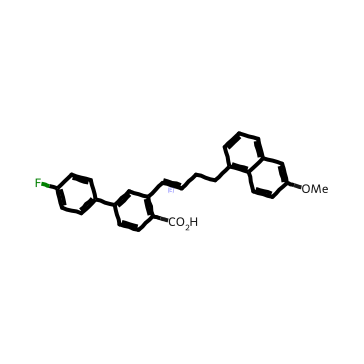 COc1ccc2c(CC/C=C/c3cc(-c4ccc(F)cc4)ccc3C(=O)O)cccc2c1